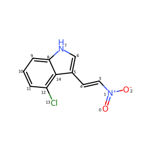 O=[N+]([O-])C=Cc1c[nH]c2cccc(Cl)c12